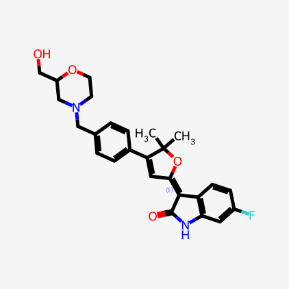 CC1(C)O/C(=C2/C(=O)Nc3cc(F)ccc32)C=C1c1ccc(CN2CCOC(CO)C2)cc1